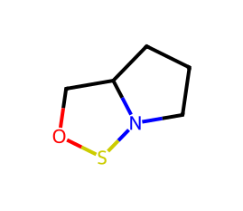 C1CC2COSN2C1